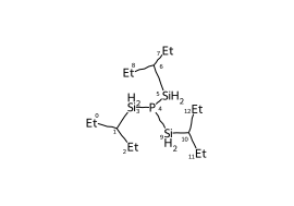 CCC(CC)[SiH2]P([SiH2]C(CC)CC)[SiH2]C(CC)CC